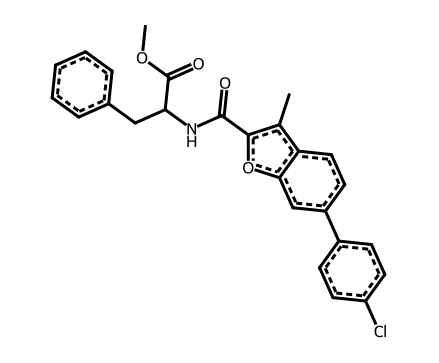 COC(=O)C(Cc1ccccc1)NC(=O)c1oc2cc(-c3ccc(Cl)cc3)ccc2c1C